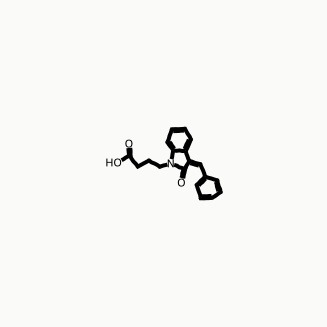 O=C(O)CCCN1C(=O)/C(=C\c2ccccc2)c2ccccc21